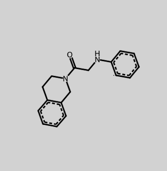 O=C(CNc1[c]cccc1)N1CCc2ccccc2C1